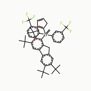 [CH2]=[Zr]([C]1=CC=CC1)([c]1cccc(C(F)(F)F)c1)([c]1cccc(C(F)(F)F)c1)[c]1c2c(cc(C(C)(C)C)c1C(C)(C)C)-c1cc(C(C)(C)C)c(C(C)(C)C)cc1C2